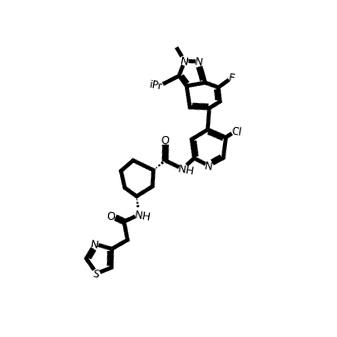 CC(C)c1c2cc(-c3cc(NC(=O)[C@H]4CCC[C@@H](NC(=O)Cc5cscn5)C4)ncc3Cl)cc(F)c2nn1C